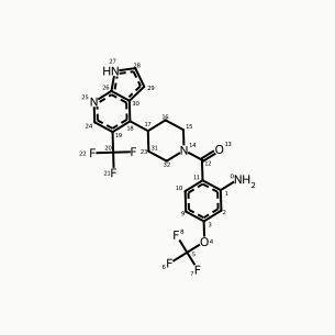 Nc1cc(OC(F)(F)F)ccc1C(=O)N1CCC(c2c(C(F)(F)F)cnc3[nH]ccc23)CC1